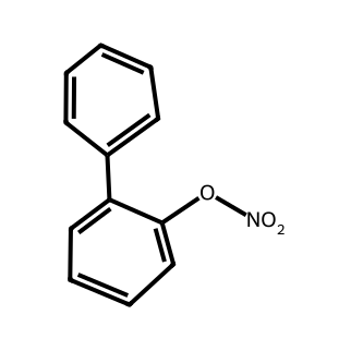 O=[N+]([O-])Oc1ccccc1-c1ccccc1